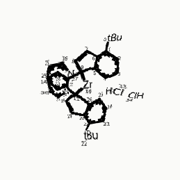 CC(C)(C)c1cccc2c1C=C[C]2([Zr][C]1(c2ccccn2)C=Cc2c(C(C)(C)C)cccc21)c1ccccn1.Cl.Cl